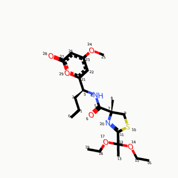 CCC[C@H](NC(=O)[C@]1(C)CSC(C(C)(OCC)OCC)=N1)c1cc(OC)cc(=O)o1